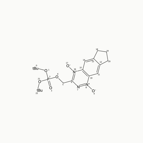 CC(C)(C)OP(=O)(OCc1n[n+]([O-])c2cc3c(cc2[n+]1[O-])CCC3)OC(C)(C)C